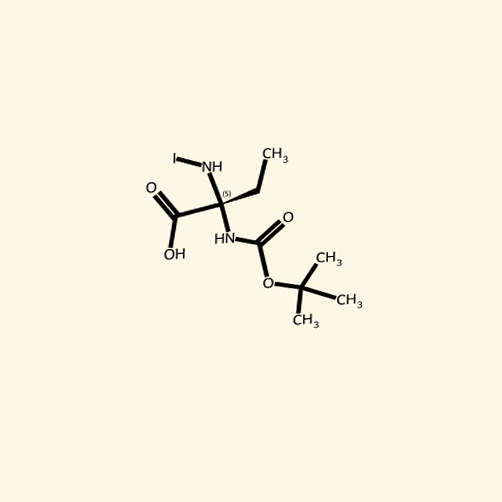 CC[C@@](NI)(NC(=O)OC(C)(C)C)C(=O)O